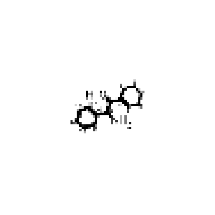 C=C(C1=CCCCC1)C(N)c1ccccc1